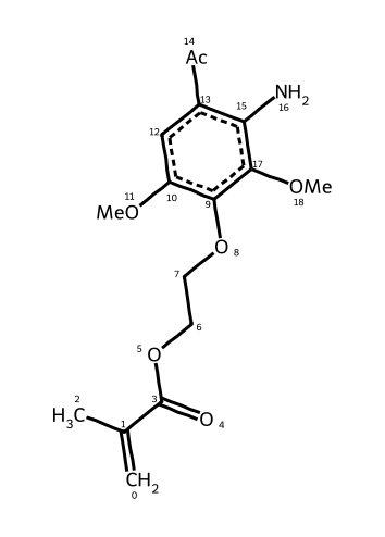 C=C(C)C(=O)OCCOc1c(OC)cc(C(C)=O)c(N)c1OC